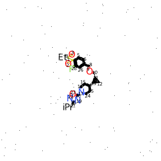 CCS(=O)(=O)c1ccc(COC[C@@H]2C[C@@H]2C2CCN(c3nc(C(C)C)no3)CC2)cc1F